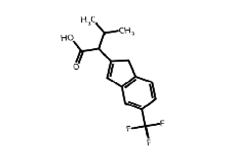 CC(C)C(C(=O)O)C1=Cc2cc(C(F)(F)F)ccc2C1